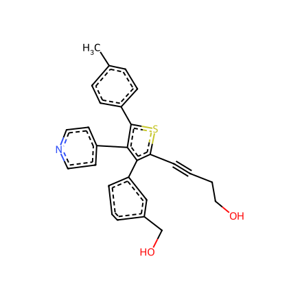 Cc1ccc(-c2sc(C#CCCO)c(-c3cccc(CO)c3)c2-c2ccncc2)cc1